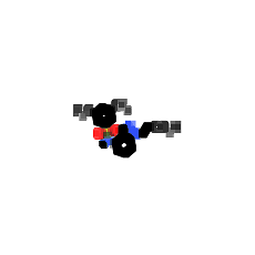 CN([C@@H]1CCCc2c1cnn2CCC(=O)O)S(=O)(=O)c1cc(C(F)(F)F)cc(C(F)(F)F)c1